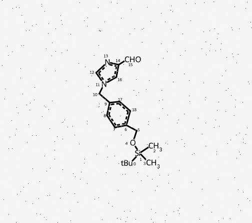 CC(C)(C)[Si](C)(C)OCc1ccc(Cn2cnc(C=O)c2)cc1